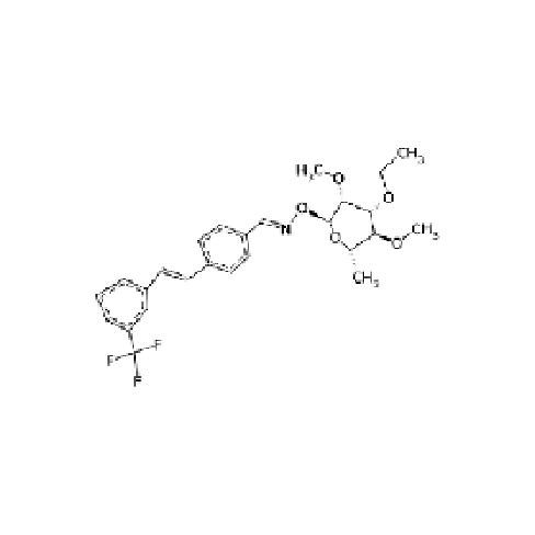 CCO[C@@H]1[C@@H](OC)[C@H](C)O[C@@H](ON=Cc2ccc(C=Cc3cccc(C(F)(F)F)c3)cc2)[C@@H]1OC